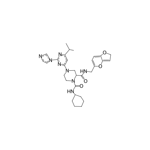 CC(C)c1cc(N2CCN(C(=O)NC3CCCCC3)C(C(=O)NCC3=CC=C4OCC=C4O3)C2)nc(-n2ccnc2)n1